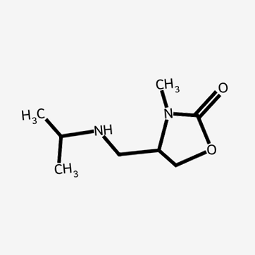 CC(C)NCC1COC(=O)N1C